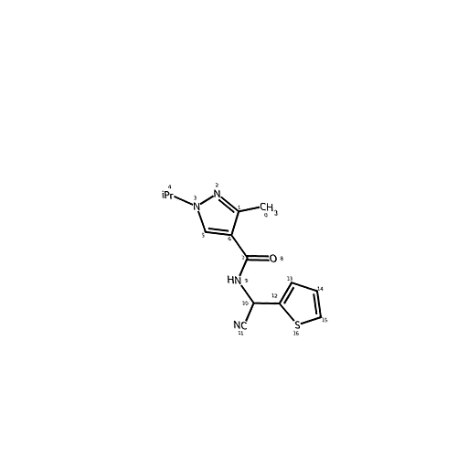 Cc1nn(C(C)C)cc1C(=O)NC(C#N)c1cccs1